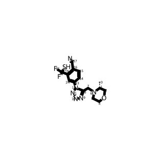 C[C@@H]1COCCN1Cc1nnnn1-c1ccc(C#N)c(C(F)(F)S)c1